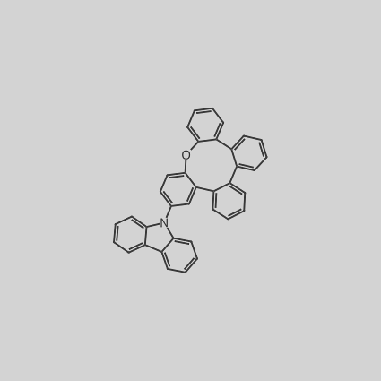 c1ccc2c(c1)oc1ccc(-n3c4ccccc4c4ccccc43)cc1c1ccccc1c1ccccc21